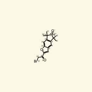 CC1(C)c2cc3cc(C(=O)CBr)oc3cc2C(C)(C)[NH+]1[O-]